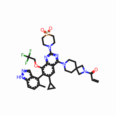 C=CC(=O)N1CC2(CCN(c3nc(N4CCS(=O)(=O)CC4)nc4c(OCC(F)(F)F)c(-c5c(C)ccc6[nH]ncc56)c(C5CC5)cc34)CC2)C1